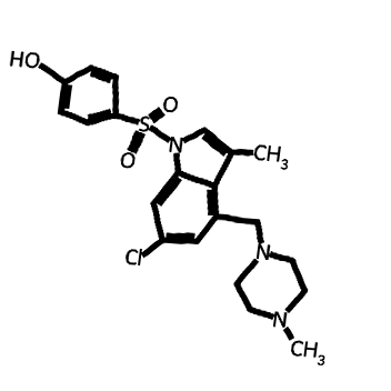 Cc1cn(S(=O)(=O)c2ccc(O)cc2)c2cc(Cl)cc(CN3CCN(C)CC3)c12